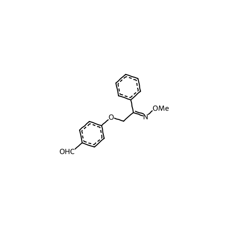 CO/N=C(/COc1ccc(C=O)cc1)c1ccccc1